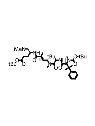 CNC[C@H](CCC(=O)OC(C)(C)C)NC(=O)/C(C)=C/CN(C)C(=O)C(NC(=O)[C@@H](N(C)C(=O)OC(C)(C)C)C(C)(C)c1ccccc1)C(C)(C)C